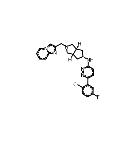 Fc1ccc(Cl)c(-c2ccc(N[C@H]3C[C@@H]4CN(Cc5cn6ccccc6n5)C[C@@H]4C3)nn2)c1